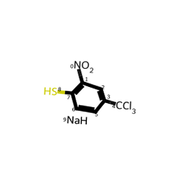 O=[N+]([O-])c1cc(C(Cl)(Cl)Cl)ccc1S.[NaH]